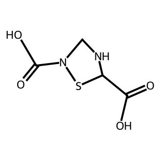 O=C(O)C1NCN(C(=O)O)S1